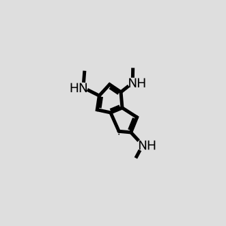 CNC1=Cc2c(cc(NC)cc2NC)[CH]1